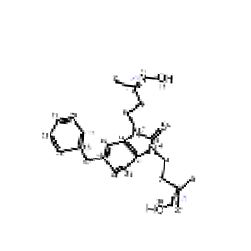 C/C(CCn1c(=S)n(CC/C(C)=N\O)c2cc(Cc3ccccc3)ccc21)=N/O